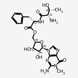 C[C@@H](O)[C@H](N)C(=O)N[C@@H](Cc1ccccc1)C(=O)OC[C@H]1O[C@@H](n2cnc3c(=O)n(C)c(N)nc32)[C@H](O)[C@@H]1O